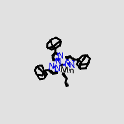 C=CC=[CH][Mn][C](n1ccc(C23CC4CC(CC(C4)C2)C3)n1)(n1ccc(C23CC4CC(CC(C4)C2)C3)n1)n1ccc(C23CC4CC(CC(C4)C2)C3)n1